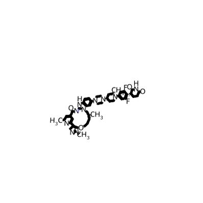 Cc1cc2cc(n1)-c1cnn(C)c1OCCC[C@@H](C)CN1/C(=N/C2=O)Nc2ccc(N3CCN([C@H]4CCN(c5cc(F)c([C@H]6CCC(=O)NC6=O)c(F)c5)[C@H](C)C4)CC3)cc21